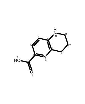 O=C(O)c1ccc2c(n1)CCCN2